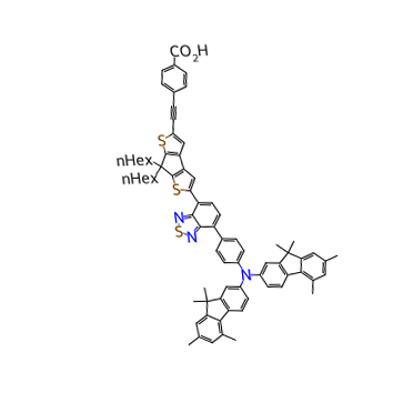 CCCCCCC1(CCCCCC)c2sc(C#Cc3ccc(C(=O)O)cc3)cc2-c2cc(-c3ccc(-c4ccc(N(c5ccc6c(c5)C(C)(C)c5cc(C)cc(C)c5-6)c5ccc6c(c5)C(C)(C)c5cc(C)cc(C)c5-6)cc4)c4nsnc34)sc21